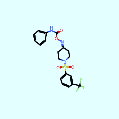 O=C(Nc1ccccc1)ON=C1CCN(S(=O)(=O)c2cccc(C(F)(F)F)c2)CC1